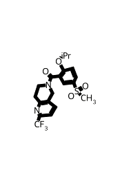 CC(C)Oc1ccc(S(C)(=O)=O)cc1C(=O)N1CCc2nc(C(F)(F)F)ccc2C1